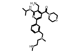 CNCCN(C)Cc1cccc(-c2cc(C(=O)N3CCSCC3)c(CN)c(NC(C)C)n2)c1